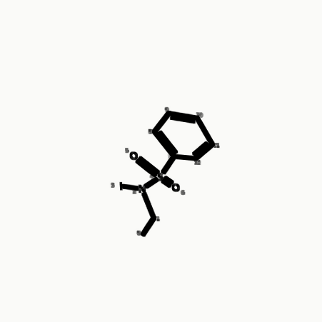 CCN(I)S(=O)(=O)c1ccccc1